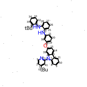 CC(C)(C)c1ccnc(-n2c3ccccc3c3ccc(Oc4cccc(Nc5ccccc5Nc5ccccc5C(C)(C)C)c4)cc32)c1